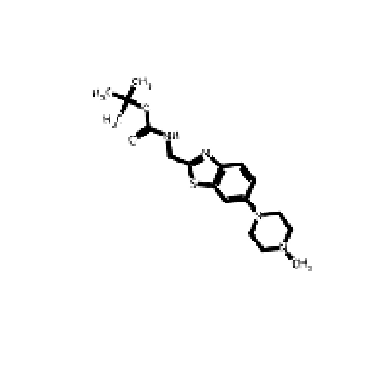 CN1CCN(c2ccc3nc(CNC(=O)OC(C)(C)C)sc3c2)CC1